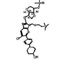 CC(C)(C)[Si](C)(C)OC1CO[C@H]2[C@@H]1OC[C@H]2Oc1nc2cc(Cl)c(-c3ccc(C4CCC(O)CC4)cc3)nc2n1COCC[Si](C)(C)C